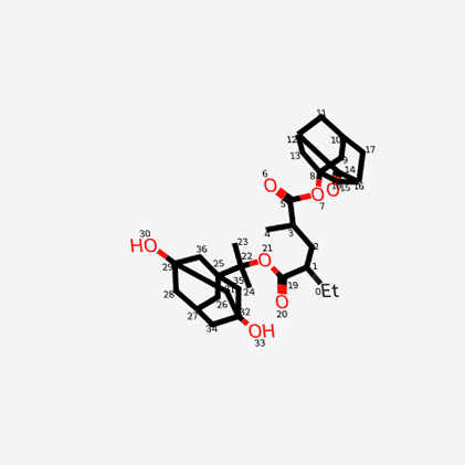 CCC(CC(C)C(=O)OC12CC3CC(C1)C(=O)C(C3)C2)C(=O)OC(C)(C)C12CC3CC(O)(CC(O)(C3)C1)C2